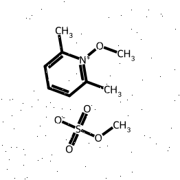 COS(=O)(=O)[O-].CO[n+]1c(C)cccc1C